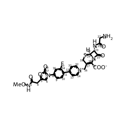 CONC(=O)Cc1cn(-c2ccc(-c3cc[n+](CC4=C(C(=O)[O-])N5C(=O)[C@@H](NC(=O)CN)[C@@H]5SC4)cc3)c(F)c2)c(=O)o1